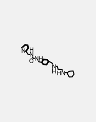 O=C(NCc1ccc(CNCCCNC2CCCCC2)cc1)NCc1ccccn1